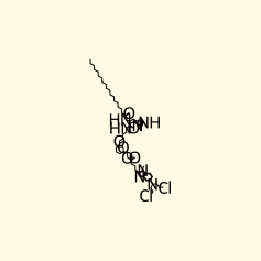 CCCCCCCCCCCCCCCCCCC(=O)NC(Cc1c[nH]cn1)C(=O)NCCCOC1CCCC(COC(=O)CCCc2nc3cc(N(CCCl)CCCl)ccc3n2C)O1